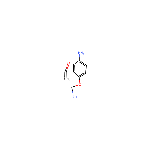 C=C=O.NCOc1ccc(N)cc1